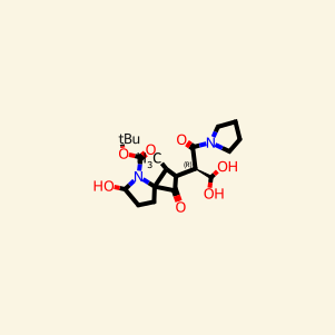 CC1C([C@@H](C(=O)N2CCCC2)C(O)O)C(=O)C12CCC(O)N2C(=O)OC(C)(C)C